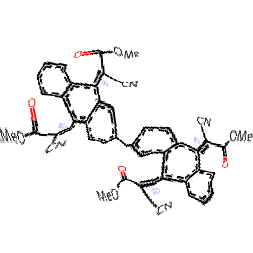 COC(=O)/C(C#N)=c1/c2ccccc2/c(=C(/C#N)C(=O)OC)c2ccc(-c3ccc4/c(=C(\C#N)C(=O)OC)c5ccccc5/c(=C(/C#N)C(=O)OC)c4c3)cc12